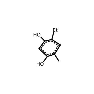 CCc1cc(C)c(O)cc1O